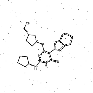 O=c1[nH]c(NC2CCCC2)nc(NC2CC[C@@H](CO)C2)c1-c1nc2ccccc2s1